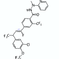 CN(NC(=O)c1ccc(/C(F)=C/C(c2ccc(OC(F)(F)F)c(Cl)c2)C(F)(F)F)cc1C(F)(F)F)c1ccccn1